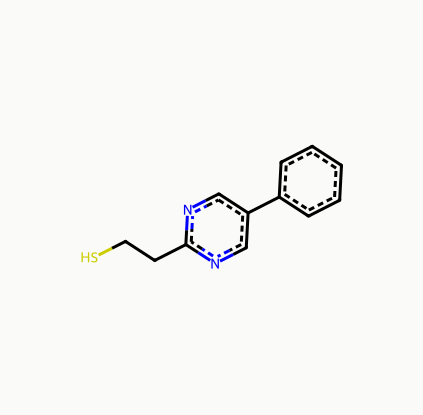 SCCc1ncc(-c2ccccc2)cn1